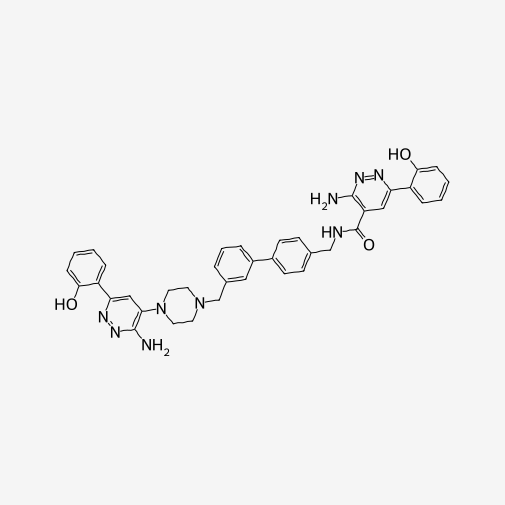 Nc1nnc(-c2ccccc2O)cc1C(=O)NCc1ccc(-c2cccc(CN3CCN(c4cc(-c5ccccc5O)nnc4N)CC3)c2)cc1